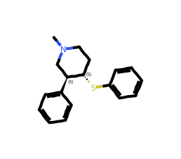 CN1CC[C@H](Sc2ccccc2)[C@@H](c2ccccc2)C1